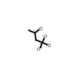 [CH2]C(Cl)CC(Cl)(Cl)Cl